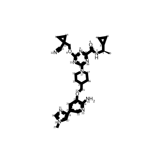 C[C@@H](NC(=O)c1nc(OCC2(C#N)CC2)nc(N2CCC(COc3cc(-c4cn(C)cn4)cnc3N)CC2)n1)C1CC1